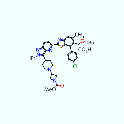 COC(=O)N1CC(N2CCC(c3c4nc(-c5nc6cc(C)c([C@H](OC(C)(C)C)C(=O)O)c(-c7ccc(Cl)cc7)c6s5)ccc4nn3C(C)C)CC2)C1